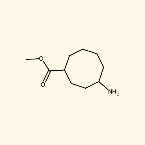 COC(=O)C1CCCCC(N)CC1